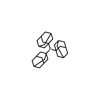 C1C2CC3CC1CC(P(C14CC5CC(CC(C5)C1)C4)C14CC5CC(CC(C5)C1)C4)(C2)C3